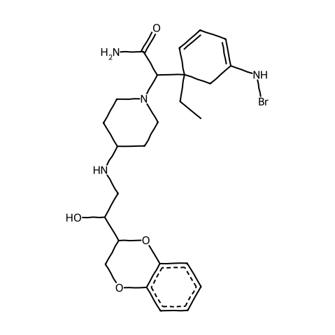 CCC1(C(C(N)=O)N2CCC(NCC(O)C3COc4ccccc4O3)CC2)C=CC=C(NBr)C1